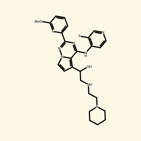 COc1cccc(-c2nc(Nc3ccncc3F)c3c(C(O)CNCCN4CCCCC4)ccn3n2)n1